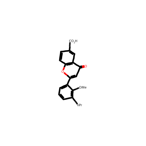 CCCc1cccc(-c2cc(=O)c3cc(C(=O)O)ccc3o2)c1OC